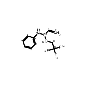 C=CP(Nc1ccccc1)OCC(F)(F)F